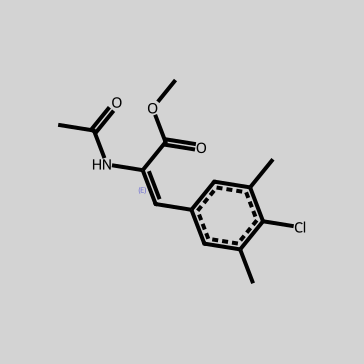 COC(=O)/C(=C\c1cc(C)c(Cl)c(C)c1)NC(C)=O